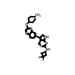 CN1CCC(Oc2cnc3ccc(-c4c[nH]c5nc(NC6CC(F)(F)C6)ncc45)cc3n2)CC1